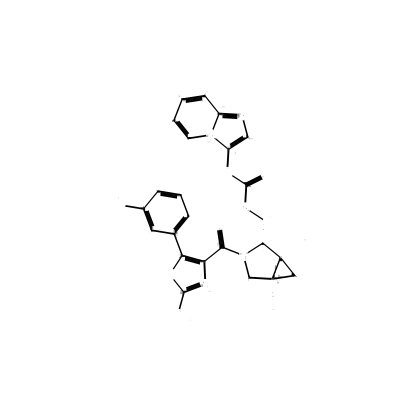 Cc1cccc(-c2sc(C)nc2C(=O)N2C[C@@H]3C[C@@H]3[C@H]2CNC(=O)Oc2cnc3ccccn23)c1